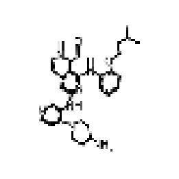 CC(C)CCOc1ccccc1Nc1nc(Nc2cnccc2N2CCC(N)CC2)cc2c1C(C=O)NC=C2